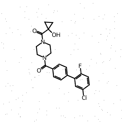 O=C(c1ccc(-c2cc(Cl)ccc2F)cc1)N1CCN(C(=O)C2(O)CC2)CC1